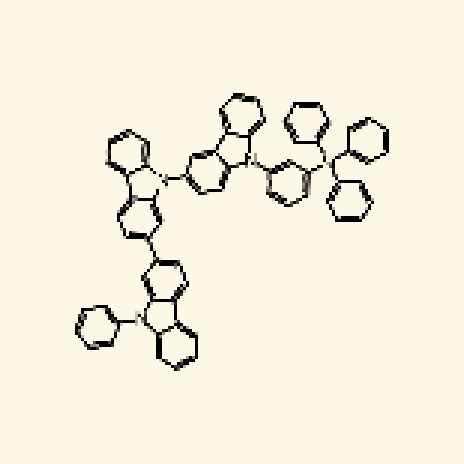 c1ccc(-n2c3ccccc3c3ccc(-c4ccc5c6ccccc6n(-c6ccc7c(c6)c6ccccc6n7-c6cccc([Si](c7ccccc7)(c7ccccc7)c7ccccc7)c6)c5c4)cc32)cc1